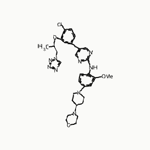 COc1cc(N2CCC(N3CCOCC3)CC2)ccc1Nc1ncc(-c2ccc(Cl)c(OC(C)Cn3cnnn3)c2)cn1